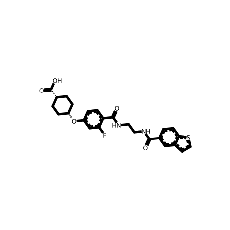 O=C(NCCNC(=O)c1ccc(O[C@H]2CC[C@@H](C(=O)O)CC2)cc1F)c1ccc2sccc2c1